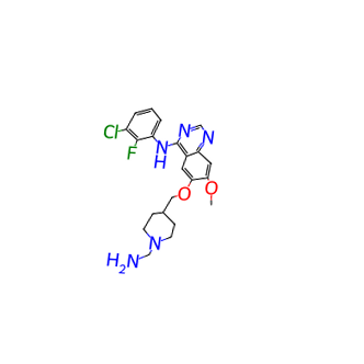 COc1cc2ncnc(Nc3cccc(Cl)c3F)c2cc1OCC1CCN(CN)CC1